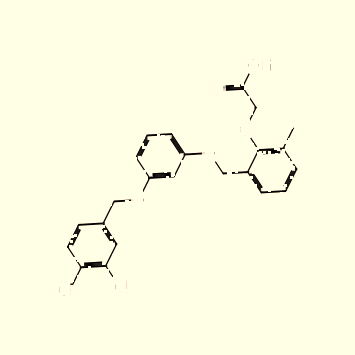 Cc1cccc(COc2cccc(OCc3ccc(Cl)c(Cl)c3)c2)c1OCC(=O)O